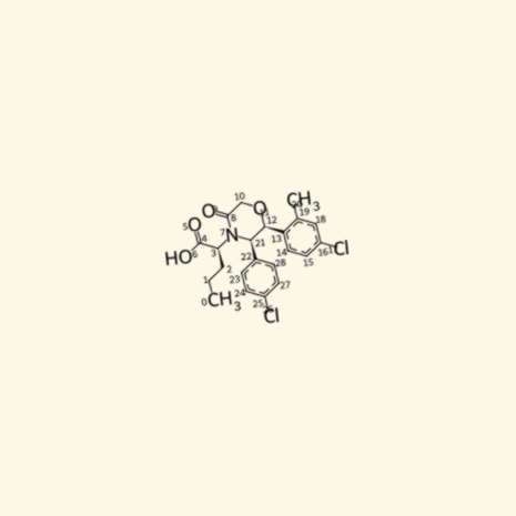 CCC[C@@H](C(=O)O)N1C(=O)CO[C@@H](c2ccc(Cl)cc2C)[C@H]1c1ccc(Cl)cc1